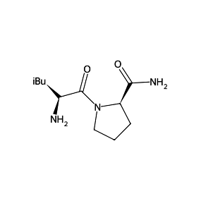 CC[C@H](C)[C@H](N)C(=O)N1CCC[C@@H]1C(N)=O